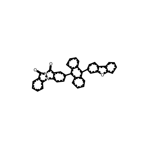 O=c1c2ccccc2n2c3ccc(-c4c5ccccc5c(-c5ccc6c(c5)oc5ccccc56)c5ccccc45)cc3c(=O)n12